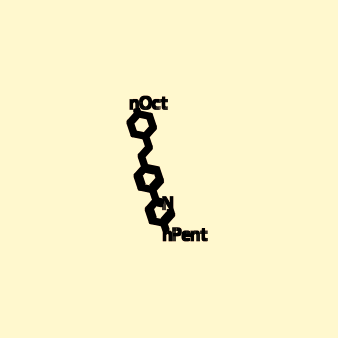 CCCCCCCCC1CCC(CCc2ccc(-c3ccc(CCCCC)cn3)cc2)CC1